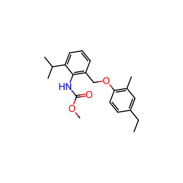 CCc1ccc(OCc2cccc(C(C)C)c2NC(=O)OC)c(C)c1